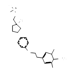 COC1C(C)=CC(CCOc2ccc([C@@H]3CC[C@](N)(COP(=O)(O)O)C3)cc2)=CC1C